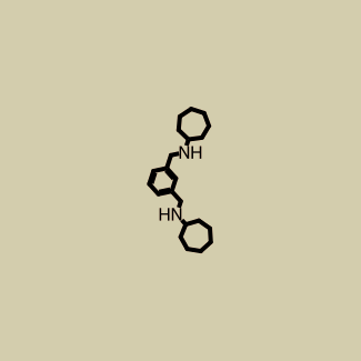 c1cc(CNC2CCCCCC2)cc(CNC2CCCCCC2)c1